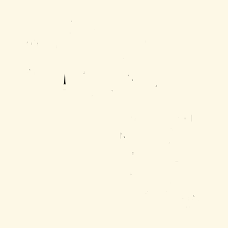 CC[C@@]1(OC(C)=O)C(=O)OCc2c1cc1n(c2=O)Cc2c-1nc1ccc(OC(C)=O)cc1c2Cl